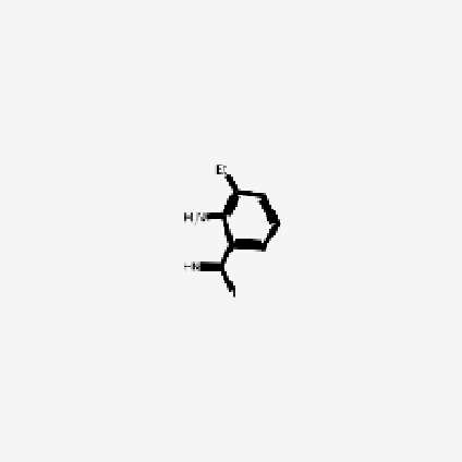 CCc1cccc(C(=N)I)c1N